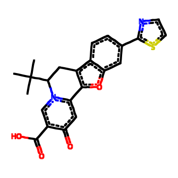 CC(C)(C)C1Cc2c(oc3cc(-c4nccs4)ccc23)-c2cc(=O)c(C(=O)O)cn21